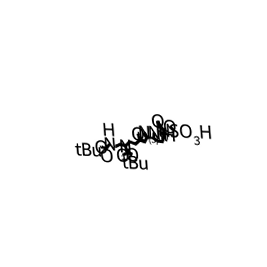 CC(C)(C)OC(=O)NCCN(CCc1cc([C@@H]2CC[C@@H]3CN2C(=O)N3OS(=O)(=O)O)no1)C(=O)OC(C)(C)C